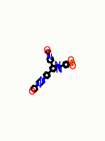 Cn1c(-c2ccc(S(C)(=O)=O)cc2)nc2c(C3CCN(C4COC4)CC3)cc(-c3ccc(N4CCN(C5CCOCC5)CC4)cc3)cc21